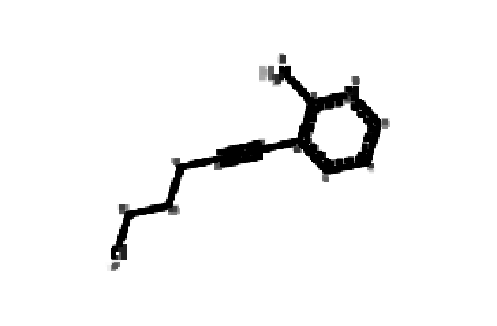 Nc1ncccc1C#CCCCCl